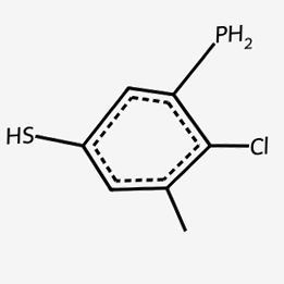 Cc1cc(S)cc(P)c1Cl